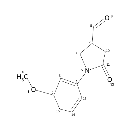 COC1C=C(N2CC(C=O)CC2=O)C=CC1